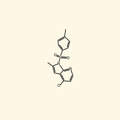 Cc1ccc(S(=O)(=O)n2c(C)cc3c(Cl)ccnc32)cc1